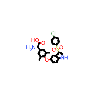 Cc1cc([C@H](N)C(=O)O)cc(C)c1Oc1ccc2[nH]cc(S(=O)(=O)c3ccc(Cl)cc3)c2c1